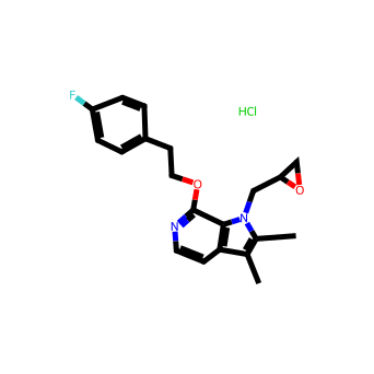 Cc1c(C)n(CC2CO2)c2c(OCCc3ccc(F)cc3)nccc12.Cl